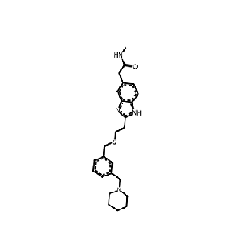 CNC(=O)Cc1ccc2[nH]c(CCSCc3cccc(CN4CCCCC4)c3)nc2c1